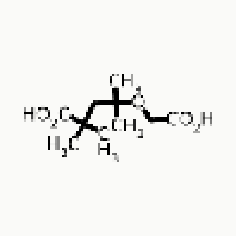 CC(C)(CC(C)(C)C(=O)O)OCC(=O)O